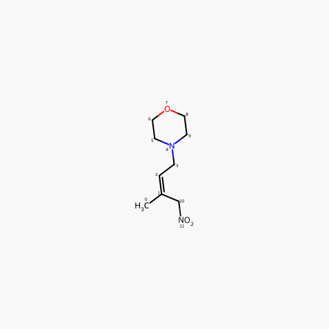 CC(=CCN1CCOCC1)C[N+](=O)[O-]